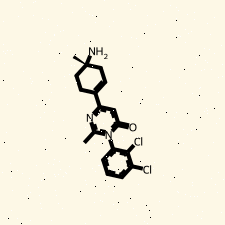 Cc1nc(C2=CC[C@@](C)(N)CC2)cc(=O)n1-c1cccc(Cl)c1Cl